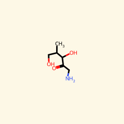 CC(CO)C(O)C(=O)CN